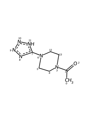 CC(=O)N1CCN(c2nnn[nH]2)CC1